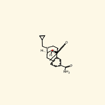 NC(=O)c1ccc2c(c1)[C@]13CCN(CC4CC4)[C@H](C2)[C@@H]1CCC(=O)C3